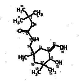 CC1(CNC(=O)OC(C)(C)C)C/C(=C/O)C(O)C(C)(C)C1